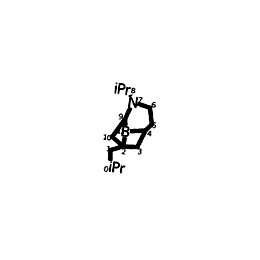 CC(C)CC12CC3CCN(C(C)C)C(C1)B32